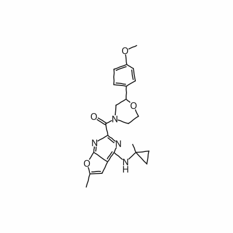 COc1ccc(C2CN(C(=O)c3nc(NC4(C)CC4)c4cc(C)oc4n3)CCO2)cc1